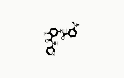 CN(C)c1cccc(C(=O)Nc2ccc(F)c(C(=O)Nc3cccnc3)c2)c1